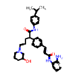 CC(C)c1ccc(NC(=O)C(CCCN2CCCC(O)C2)c2ccc(/C=C/C(=O)Nc3ccccc3N)cc2)cc1